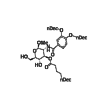 CCCCCCCCCCCCCC(=O)O[C@H]1[C@H](O)[C@@H](CO)O[C@@H](OC)[C@@H]1NC(=O)c1ccc(OCCCCCCCCCC)c(OCCCCCCCCCC)c1